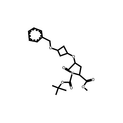 COC(=O)C1CC(OC2CC(OCc3ccccc3)C2)C(=O)N1C(=O)OC(C)(C)C